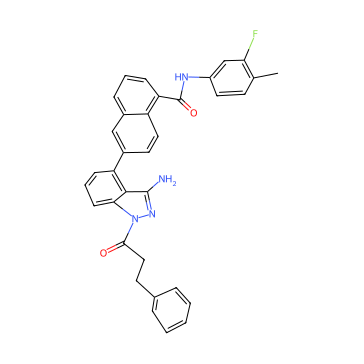 Cc1ccc(NC(=O)c2cccc3cc(-c4cccc5c4c(N)nn5C(=O)CCc4ccccc4)ccc23)cc1F